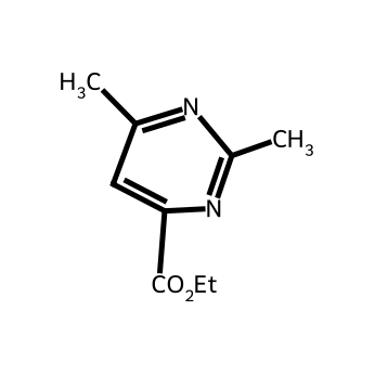 CCOC(=O)c1cc(C)nc(C)n1